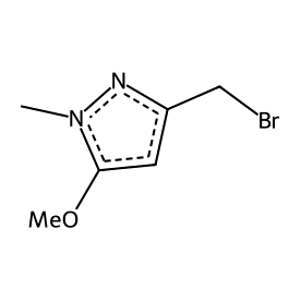 COc1cc(CBr)nn1C